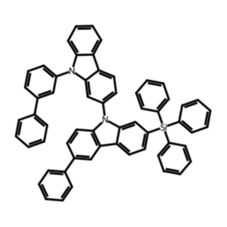 c1ccc(-c2cccc(-n3c4ccccc4c4ccc(-n5c6ccc(-c7ccccc7)cc6c6ccc([Si](c7ccccc7)(c7ccccc7)c7ccccc7)cc65)cc43)c2)cc1